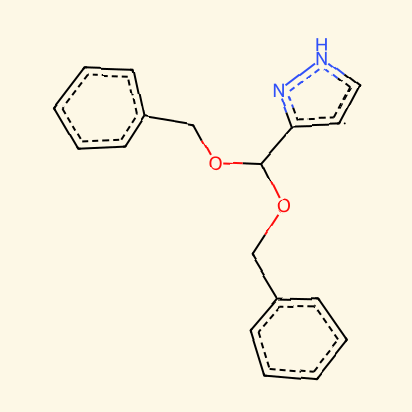 [c]1c[nH]nc1C(OCc1ccccc1)OCc1ccccc1